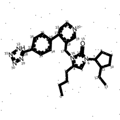 CCCCc1cn(C2CCCC2CC)c(=O)n1Cc1cnccc1-c1ccc(-c2nnn[nH]2)cc1